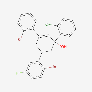 OC1(c2ccccc2Cl)C=C(c2ccccc2Br)CC(c2cc(F)ccc2Br)C1